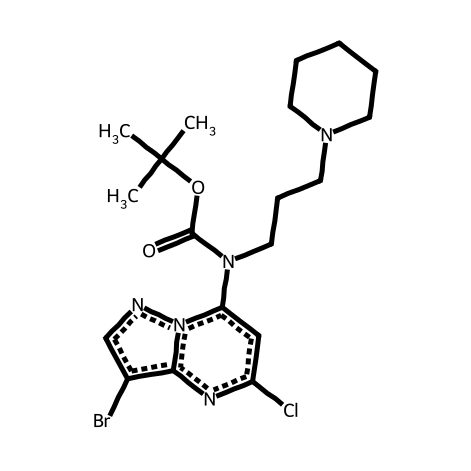 CC(C)(C)OC(=O)N(CCCN1CCCCC1)c1cc(Cl)nc2c(Br)cnn12